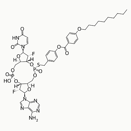 CCCCCCCCCCOc1ccc(C(=O)Oc2ccc(CS[P@]3(=O)OC[C@H]4O[C@@H](n5cnc6c(N)ncnc65)[C@H](F)[C@@H]4OP(=O)(O)OC[C@H]4O[C@@H](n5ccc(=O)[nH]c5=O)[C@H](F)[C@@H]4O3)cc2)cc1